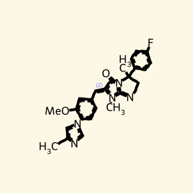 COc1cc(/C=c2/c(=O)n3c(n2C)=NCCC3(C)c2ccc(F)cc2)ccc1-n1cnc(C)c1